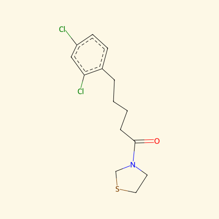 O=C(CCCCc1ccc(Cl)cc1Cl)N1CCSC1